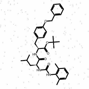 Cc1cccc(C)c1NC(=O)N[C@@H](CC(C)C)C(=O)N[C@@H](Cc1ccc(OCc2ccccc2)cc1)C(=O)OC(C)(C)C